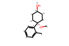 CO[C@]1(c2ccccc2C)CC[C@@H](O)CC1